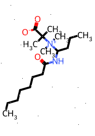 CCCCCCCC(=O)NC(CCC)[N+](C)(C)C(C)(C)C(=O)[O-]